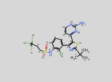 CC(C)(C)c1nc(-c2cccc(NS(=O)(=O)CCC(F)(F)F)c2Cl)c(-c2ccnc(N)n2)s1